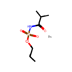 CCCOS(=O)(=O)NC(=O)C(C)C.[Zn]